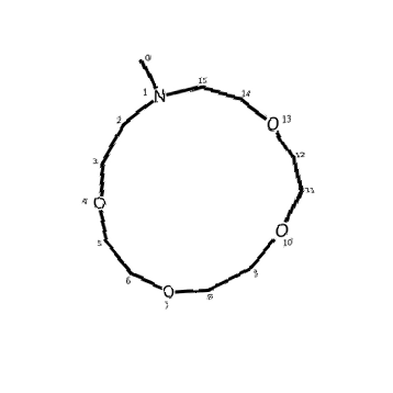 CN1CCOCCOCCOCCOCC1